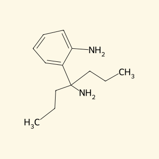 CCCC(N)(CCC)c1ccccc1N